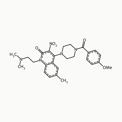 COc1ccc(C(=O)N2CCN(c3c([N+](=O)[O-])c(=O)n(CCN(C)C)c4ccc(C)cc34)CC2)cc1